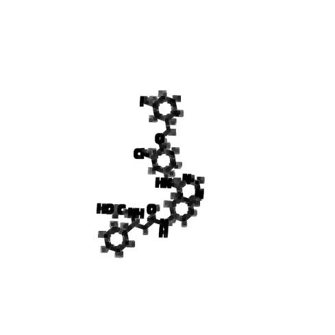 O=C(O)NC(CC(=O)Nc1ccc2ncnc(Nc3ccc(OCc4cccc(F)c4)c(Cl)c3)c2c1)c1ccccc1